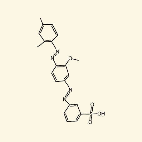 COc1cc(N=Nc2cccc(S(=O)(=O)O)c2)ccc1N=Nc1ccc(C)cc1C